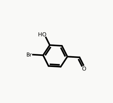 O=Cc1ccc(Br)c(O)c1